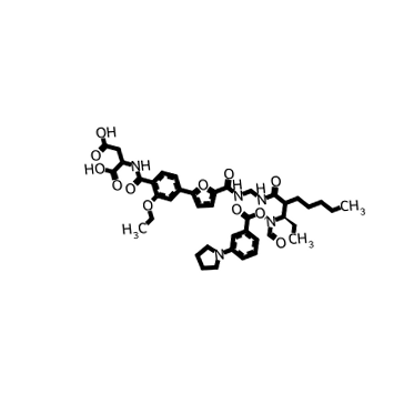 CCCCCC(C(=O)NCNC(=O)c1ccc(-c2ccc(C(=O)NC(CC(=O)O)C(=O)O)c(OCC)c2)o1)[C@@H](CC)N(C=O)OC(=O)c1cccc(N2CCCC2)c1